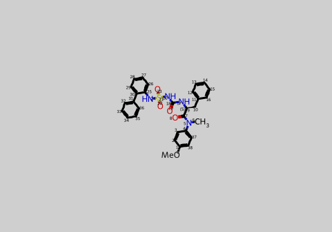 COc1ccc(N(C)C(=O)[C@H](Cc2ccccc2)NC(=O)NS(=O)(=O)Nc2ccccc2-c2ccccc2)cc1